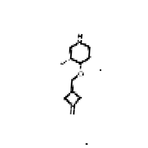 F[C@@H]1CNCC[C@@H]1OCC1CNC1